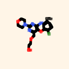 COc1ccc(Cl)c(Oc2c(N)nc(N3CCOCC3)nc2COCCO)c1